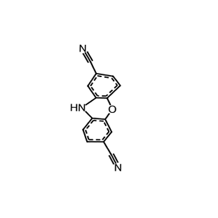 N#Cc1ccc2c(c1)Nc1ccc(C#N)cc1O2